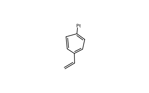 C=Cc1cc[c]([Pt])cc1